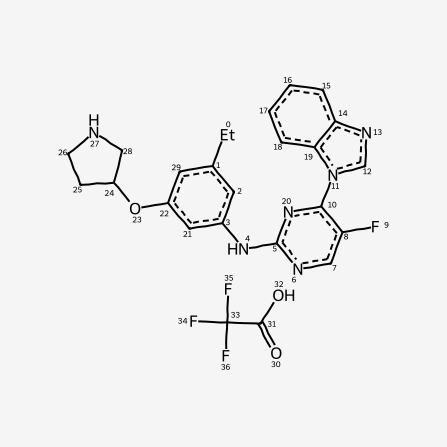 CCc1cc(Nc2ncc(F)c(-n3cnc4ccccc43)n2)cc(OC2CCNC2)c1.O=C(O)C(F)(F)F